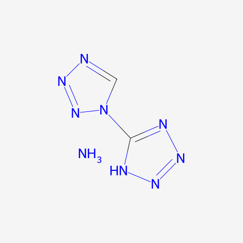 N.c1nnnn1-c1nnn[nH]1